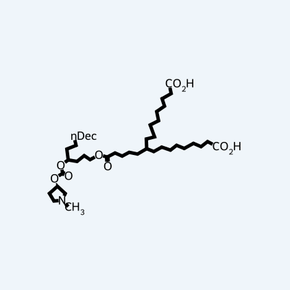 CCCCCCCCCCCCC(CCCOC(=O)CCCCC(CCCCCCCCC(=O)O)CCCCCCCCC(=O)O)OC(=O)O[C@H]1CCN(C)C1